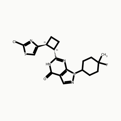 CC1(F)CCC(n2ncc3c(=O)[nH]c([C@H]4CC[C@@H]4c4csc(Cl)n4)nc32)CC1